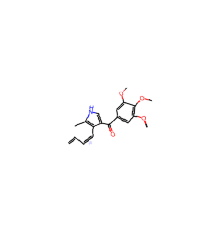 C=C/C=C\c1c(C(=O)c2cc(OC)c(OC)c(OC)c2)c[nH]c1C